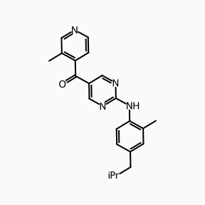 Cc1cc(CC(C)C)ccc1Nc1ncc(C(=O)c2ccncc2C)cn1